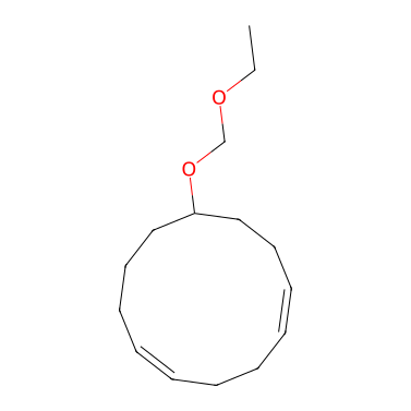 CCOCOC1CCC=CCCC=CCCC1